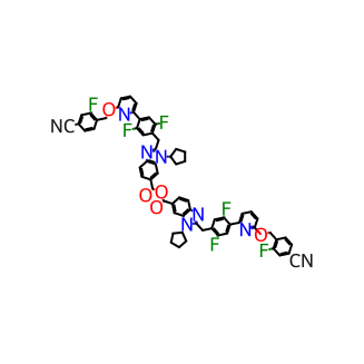 N#Cc1ccc(COc2cccc(-c3cc(F)c(Cc4nc5ccc(C(=O)OC(=O)c6ccc7nc(Cc8cc(F)c(-c9cccc(OCc%10ccc(C#N)cc%10F)n9)cc8F)n(C8CCCC8)c7c6)cc5n4C4CCCC4)cc3F)n2)c(F)c1